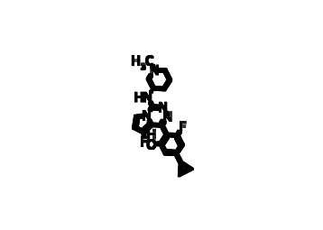 CN1CCC[C@@H](Nc2nnc(-c3c(O)cc(C4CC4)cc3F)c3c(F)ccn23)C1